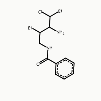 CCC(Cl)C(N)C(CC)CNC(=O)c1ccccc1